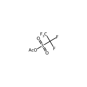 CC(=O)OS(=O)(=O)C(F)(F)C(F)(F)F